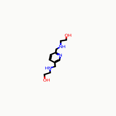 OCCNCc1ccc(CNCCO)nc1